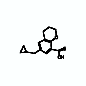 OC(=S)c1cc(CC2CC2)cc2c1OCCC2